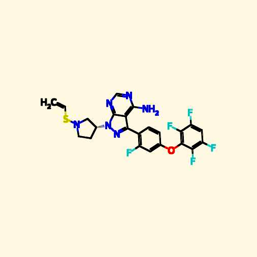 C=CSN1CC[C@@H](n2nc(-c3ccc(Oc4c(F)c(F)cc(F)c4F)cc3F)c3c(N)ncnc32)C1